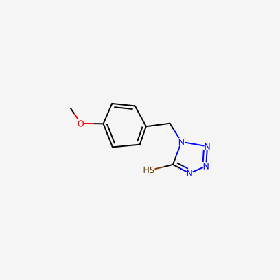 COc1ccc(Cn2nnnc2S)cc1